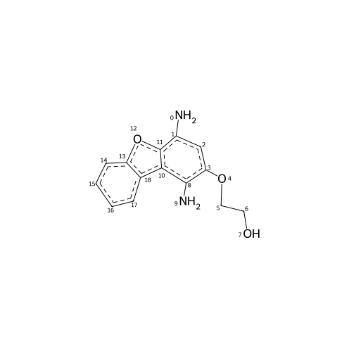 Nc1cc(OCCO)c(N)c2c1oc1ccccc12